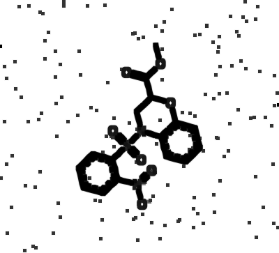 COC(=O)C1CN(S(=O)(=O)c2ccccc2[N+](=O)[O-])c2ccccc2O1